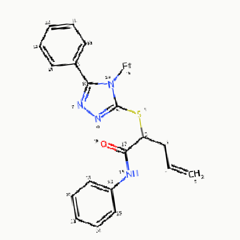 C=CCC(Sc1nnc(-c2ccccc2)n1CC)C(=O)Nc1ccccc1